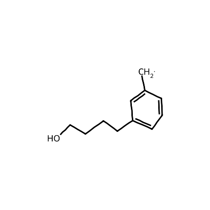 [CH2]c1cccc(CCCCO)c1